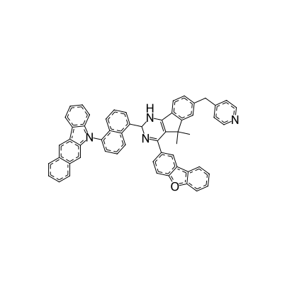 CC1(C)C2=C(NC(c3cccc4c(-n5c6ccccc6c6cc7ccccc7cc65)cccc34)N=C2c2ccc3oc4ccccc4c3c2)c2ccc(Cc3ccncc3)cc21